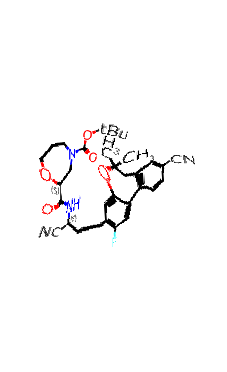 CC(C)(C)OC(=O)N1CCCO[C@H](C(=O)N[C@H](C#N)Cc2cc3c(cc2F)-c2ccc(C#N)cc2C(C)(C)O3)C1